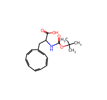 CC(C)(C)OC(=O)NC(Cc1ccccccccc1)C(=O)O